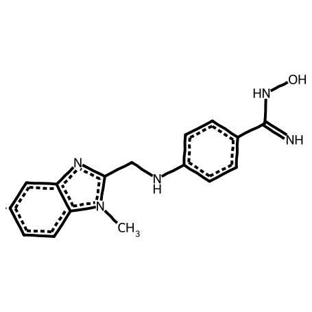 Cn1c(CNc2ccc(C(=N)NO)cc2)nc2c[c]ccc21